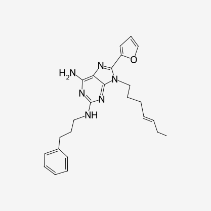 CCC=CCCCn1c(-c2ccco2)nc2c(N)nc(NCCCc3ccccc3)nc21